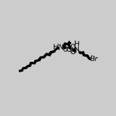 C=C(CC(=O)NCCCCCCCCCCCCCCCCCC)C(O)OC(=O)NCCCCCBr